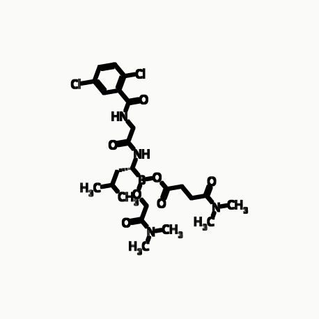 CC(C)C[C@H](NC(=O)CNC(=O)c1cc(Cl)ccc1Cl)B(OCC(=O)N(C)C)OC(=O)CCC(=O)N(C)C